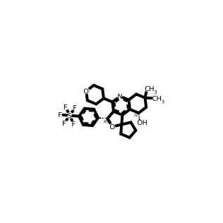 CC1(C)Cc2nc(C3CCOCC3)c3c(c2[C@@H](O)C1)C1(CCCC1)O[C@@H]3c1ccc(S(F)(F)(F)(F)F)cc1